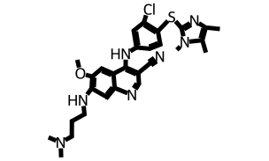 COc1cc2c(Nc3ccc(Sc4nc(C)c(C)n4C)c(Cl)c3)c(C#N)cnc2cc1NCCCN(C)C